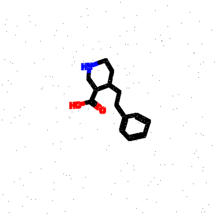 O=C(O)C1CNCCC1CCc1ccccc1